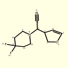 N#CC(C1C=COC1)N1CCC(F)(F)CC1